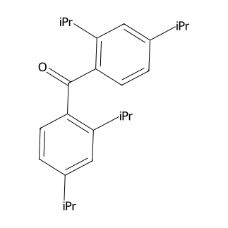 CC(C)c1ccc(C(=O)c2ccc(C(C)C)cc2C(C)C)c(C(C)C)c1